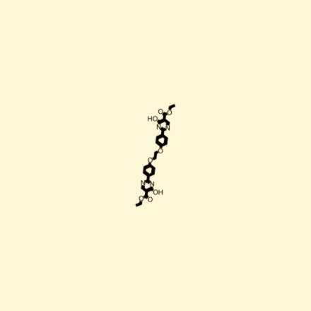 CCOC(=O)c1cnc(-c2ccc(OCCOc3ccc(-c4ncc(C(=O)OCC)c(O)n4)cc3)cc2)nc1O